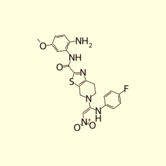 COc1ccc(N)c(NC(=O)c2nc3c(s2)CN(C(=C[N+](=O)[O-])Nc2ccc(F)cc2)CC3)c1